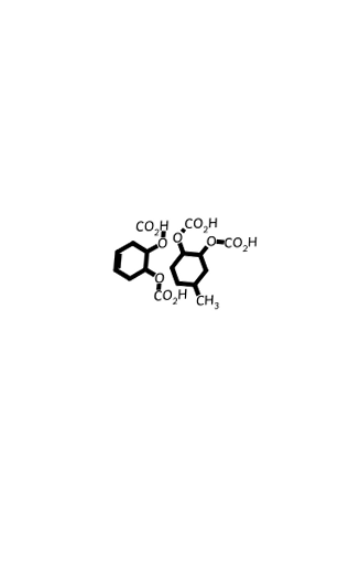 CC1CCC(OC(=O)O)C(OC(=O)O)C1.O=C(O)OC1CC=CCC1OC(=O)O